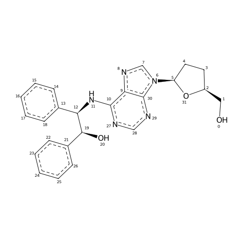 OC[C@@H]1CC[C@H](n2cnc3c(N[C@H](c4ccccc4)[C@@H](O)c4ccccc4)ncnc32)O1